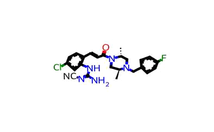 C[C@@H]1CN(Cc2ccc(F)cc2)[C@@H](C)CN1C(=O)/C=C/c1ccc(Cl)cc1N/C(N)=N\C#N